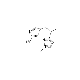 CC(C)C1=CC(CC(C)c2ccn(C)n2)C=N1